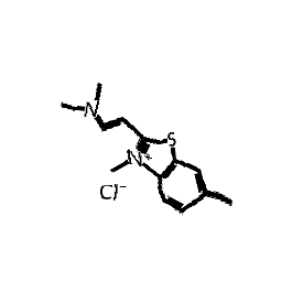 Cc1ccc2c(c1)sc(/C=C/N(C)C)[n+]2C.[Cl-]